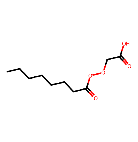 CCCCCCCC(=O)OOCC(=O)O